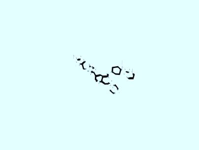 Cn1c(Cn2nnc(-c3cnc4cc(N5CCOCC5)nc(OC5CCC(Nc6ncccn6)CC5)c4c3)n2)cnc1[N+](=O)[O-]